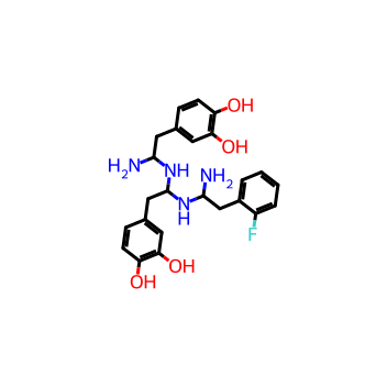 NC(Cc1ccc(O)c(O)c1)NC(Cc1ccc(O)c(O)c1)NC(N)Cc1ccccc1F